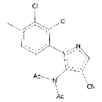 CC(=O)N(C(C)=O)c1c(C#N)cnn1-c1ccc(C)c(Cl)c1Cl